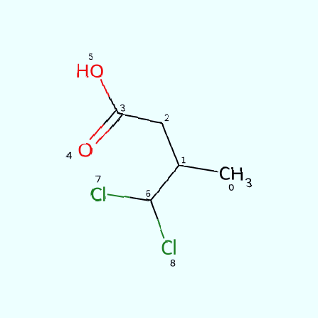 CC(CC(=O)O)C(Cl)Cl